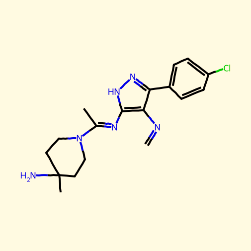 C=Nc1c(-c2ccc(Cl)cc2)n[nH]c1/N=C(\C)N1CCC(C)(N)CC1